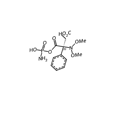 CON(OC)[C@](CC(=O)O)(C(=O)OP(N)(=O)O)c1ccccc1